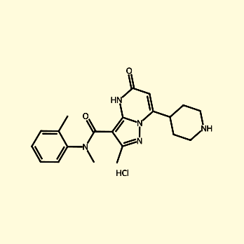 Cc1ccccc1N(C)C(=O)c1c(C)nn2c(C3CCNCC3)cc(=O)[nH]c12.Cl